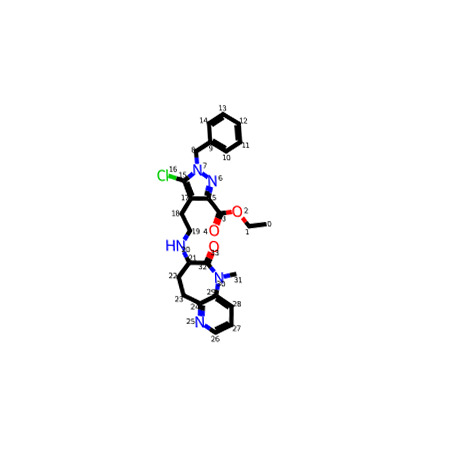 CCOC(=O)c1nn(Cc2ccccc2)c(Cl)c1CCNC1CCc2ncccc2N(C)C1=O